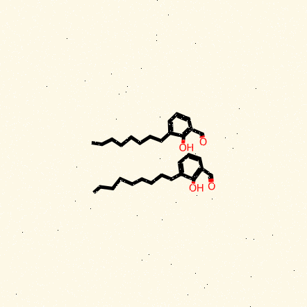 CCCCCCCCCc1cccc(C=O)c1O.CCCCCCCCc1cccc(C=O)c1O